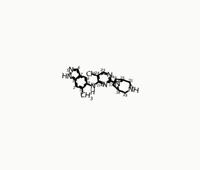 Cc1cc2[nH]ncc2cc1Nc1nc(N2C3CCC2CNC3)ncc1Cl